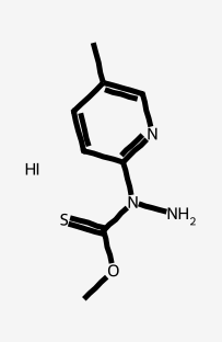 COC(=S)N(N)c1ccc(C)cn1.I